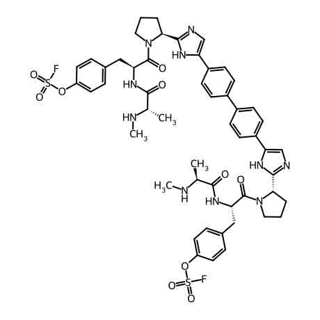 CN[C@@H](C)C(=O)N[C@@H](Cc1ccc(OS(=O)(=O)F)cc1)C(=O)N1CCC[C@H]1c1ncc(-c2ccc(-c3ccc(-c4cnc([C@@H]5CCCN5C(=O)[C@H](Cc5ccc(OS(=O)(=O)F)cc5)NC(=O)[C@H](C)NC)[nH]4)cc3)cc2)[nH]1